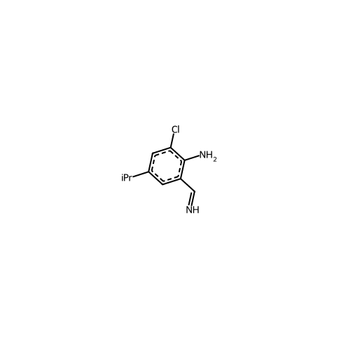 CC(C)c1cc(Cl)c(N)c(C=N)c1